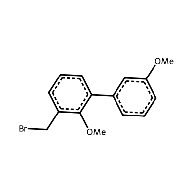 COc1cccc(-c2cccc(CBr)c2OC)c1